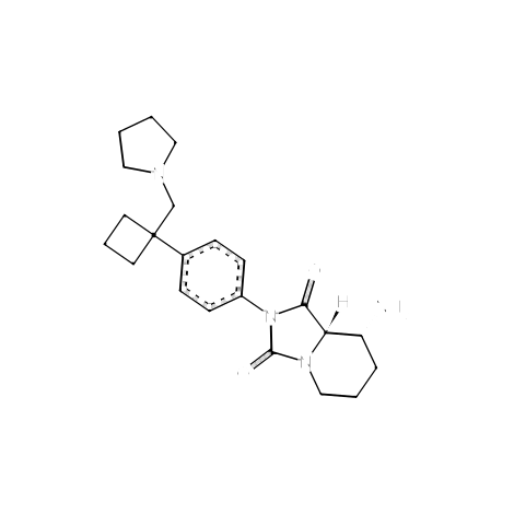 N[C@@H]1CCCN2C(=O)N(c3ccc(C4(CN5CCCC5)CCC4)cc3)C(=O)[C@H]12